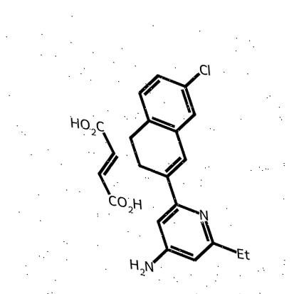 CCc1cc(N)cc(C2=Cc3cc(Cl)ccc3CC2)n1.O=C(O)/C=C/C(=O)O